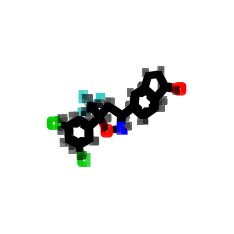 O=C1CCc2cc(C3=NOC(c4cc(Cl)cc(Cl)c4)(C(F)(F)F)C3)ccc21